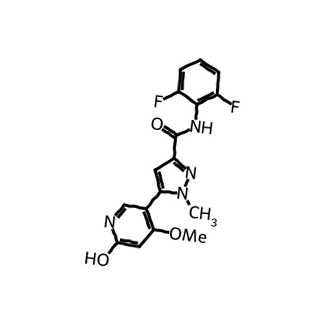 COc1cc(O)ncc1-c1cc(C(=O)Nc2c(F)cccc2F)nn1C